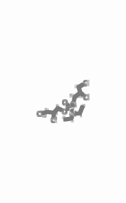 CCN(CC)P(=O)(OCC(Cl)CCl)OCC(Cl)CCl